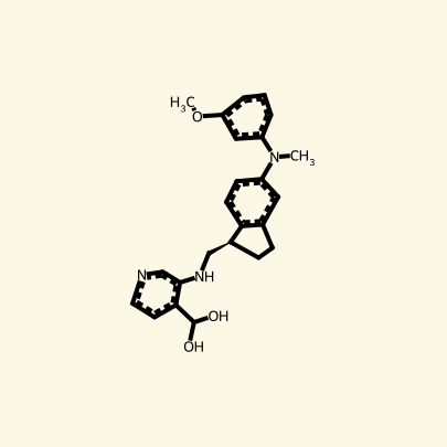 COc1cccc(N(C)c2ccc3c(c2)CC[C@H]3CNc2cnccc2C(O)O)c1